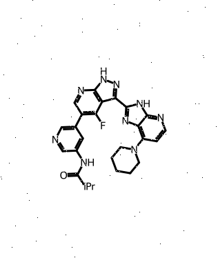 CC(C)C(=O)Nc1cncc(-c2cnc3[nH]nc(-c4nc5c(N6CCCCC6)ccnc5[nH]4)c3c2F)c1